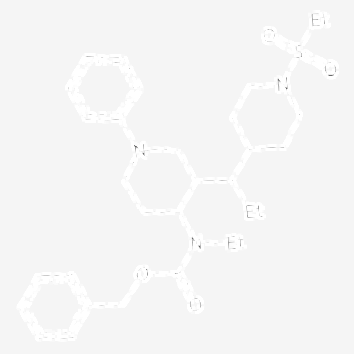 CCC(C1CCN(S(=O)(=O)CC)CC1)C1CN(c2ccccc2)CCC1N(CC)C(=O)OCc1ccccc1